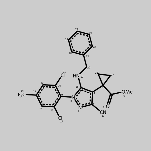 COC(=O)C1(c2c(C#N)nn(-c3c(Cl)cc(C(F)(F)F)cc3Cl)c2NCc2ccccc2)CC1